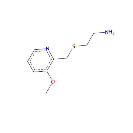 COc1cccnc1CSCCN